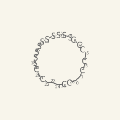 C1CCCCCCCCSSSSSSSSSSCCCCCCCC1